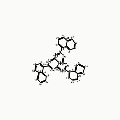 c1ccc2c(C3=NC4=NC(c5cccc6ccccc56)=NC5=NC(c6cccc7ccccc67)=NC(=N3)N45)cccc2c1